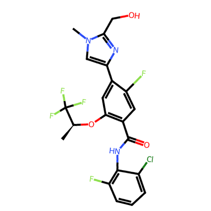 C[C@H](Oc1cc(-c2cn(C)c(CO)n2)c(F)cc1C(=O)Nc1c(F)cccc1Cl)C(F)(F)F